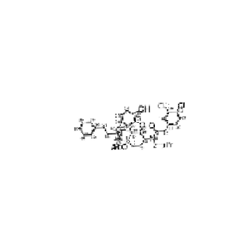 CC(=O)O[C@@]12CCC(N(CC(C)C)C(=O)Cc3ccc(Cl)c(Cl)c3)C3Oc4c(O)ccc5c4[C@@]31CCN(CCc1ccccc1)[C@@H]2C5